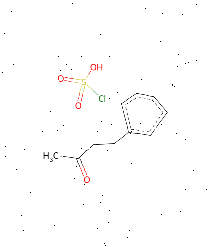 CC(=O)CCc1ccccc1.O=S(=O)(O)Cl